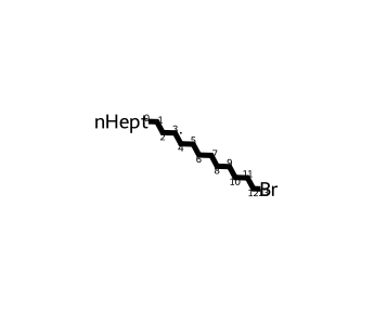 CCCCCCCCC[CH]CCCCCCCCCBr